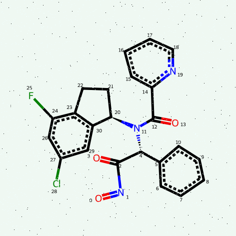 O=NC(=O)[C@@H](c1ccccc1)N(C(=O)c1ccccn1)[C@@H]1CCc2c(F)cc(Cl)cc21